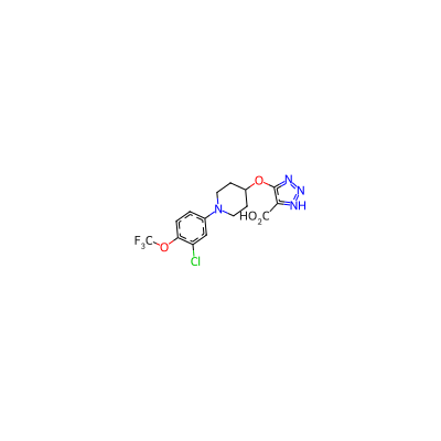 O=C(O)c1[nH]nnc1OC1CCN(c2ccc(OC(F)(F)F)c(Cl)c2)CC1